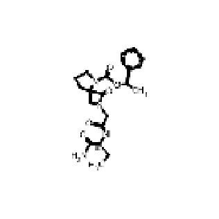 CC[C@H](NC(=O)CN1CC2(CCCN2C(=O)OC(C)c2ccccc2)C1=O)C(N)=O